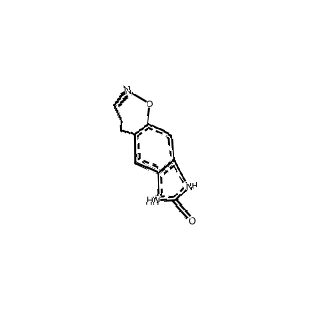 O=c1[nH]c2cc3c(cc2[nH]1)ON=CC3